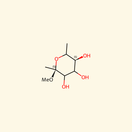 CO[C@@]1(C)OC(C)[C@@H](O)C(O)C1O